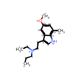 CCCN(CC)CCc1c[nH]c2c(C)cc(OC)cc12